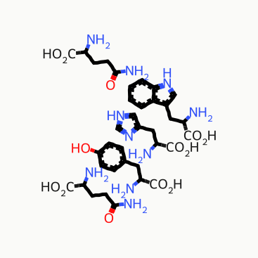 NC(=O)CCC(N)C(=O)O.NC(=O)CCC(N)C(=O)O.NC(Cc1c[nH]c2ccccc12)C(=O)O.NC(Cc1c[nH]cn1)C(=O)O.NC(Cc1ccc(O)cc1)C(=O)O